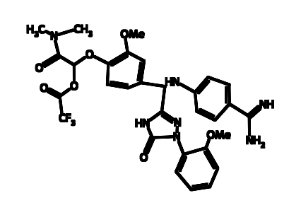 COc1cc(C(Nc2ccc(C(=N)N)cc2)c2nn(-c3ccccc3OC)c(=O)[nH]2)ccc1OC(OC(=O)C(F)(F)F)C(=O)N(C)C